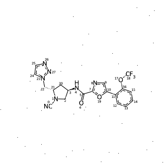 N#CN1C[C@H](NC(=O)c2ncc(-c3ccccc3OC(F)(F)F)o2)C[C@H]1Cn1ccnn1